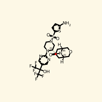 Nc1ccc(S(=O)(=O)N2CCN(c3ncc(C(O)(C(F)(F)F)C(F)(F)F)cn3)[C@@H](CN3[C@@H]4COC[C@H]3CC(=O)C4)C2)s1